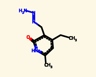 CCc1cc(C)[nH]c(=O)c1CN=NN